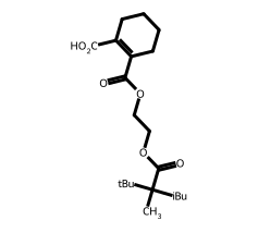 CCC(C)C(C)(C(=O)OCCOC(=O)C1=C(C(=O)O)CCCC1)C(C)(C)C